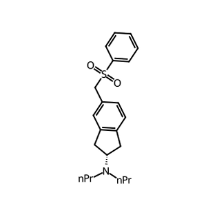 CCCN(CCC)[C@H]1Cc2ccc(CS(=O)(=O)c3ccccc3)cc2C1